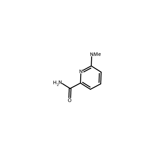 CNc1cccc(C(N)=O)n1